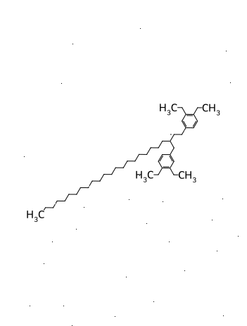 CCCCCCCCCCCCCCCCCCCCCCC([CH]Cc1ccc(CC)c(CC)c1)Cc1ccc(CC)c(CC)c1